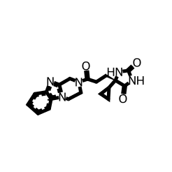 O=C1NC(=O)[C@](CCC(=O)N2CCn3c(nc4ccccc43)C2)(C2CC2)N1